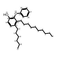 CCCCCCCCCCc1c(CCCCCC)ccc(O)c1Oc1ccccc1